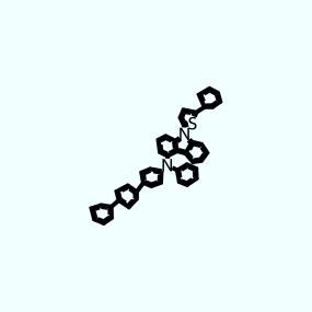 c1ccc(-c2ccc(-c3ccc(N(c4ccccc4)c4cccc5c4c4ccccc4n5-c4ccc(-c5ccccc5)s4)cc3)cc2)cc1